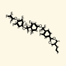 CCCC1COC(c2ccc(C(F)(F)Oc3cc(F)c(C(F)(F)Oc4cc(F)c(OC(F)=C(F)F)c(F)c4)c(F)c3)c(F)c2)OC1